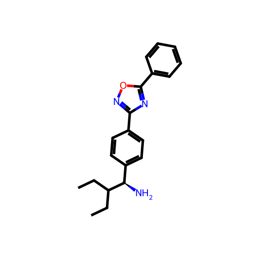 CCC(CC)[C@H](N)c1ccc(-c2noc(-c3ccccc3)n2)cc1